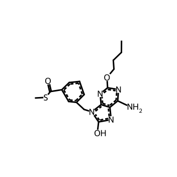 CCCCOc1nc(N)c2nc(O)n(Cc3cccc(C(=O)SC)c3)c2n1